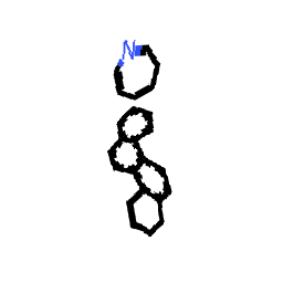 C1=CCC=NC=C1.c1ccc2c(c1)ccc1c3c(ccc12)CCCC3